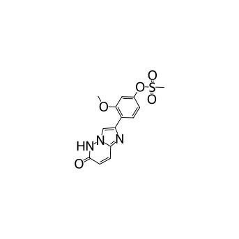 COc1cc(OS(C)(=O)=O)ccc1-c1cn2[nH]c(=O)ccc2n1